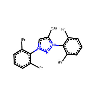 CC(C)c1cccc(C(C)C)c1-n1cc(C(C)(C)C)[n+](-c2c(C(C)C)cccc2C(C)C)n1